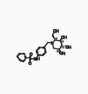 O=S(=O)(Nc1ccc(CN2C[C@H](O)[C@@H](O)[C@H](O)[C@@H]2CO)cc1)c1ccccc1